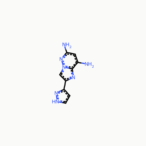 Nc1cc(N)c2nc(-c3cc[nH]n3)cn2n1